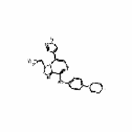 CCc1cnc2c(Nc3ccc(N4CCOCC4)cc3)ncc(-c3cn[nH]c3)n12